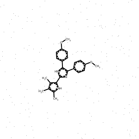 COc1ccc(-c2nc(-c3[nH]c(C)c(C)c3C)[nH]c2-c2ccc(OC)cc2)cc1